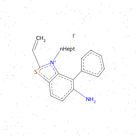 C=Cc1sc2ccc(N)c(-c3ccccc3)c2[n+]1CCCCCCC.[I-]